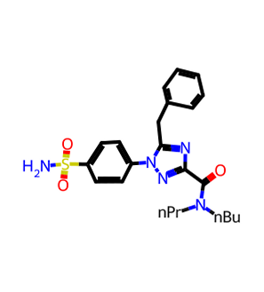 CCCCN(CCC)C(=O)c1nc(Cc2ccccc2)n(-c2ccc(S(N)(=O)=O)cc2)n1